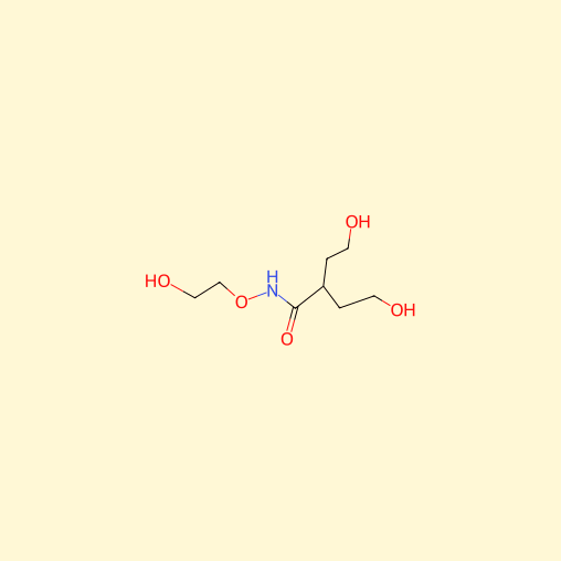 O=C(NOCCO)C(CCO)CCO